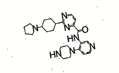 O=C(Nc1cnccc1N1CCNCC1)c1ccnc(C2CCC(N3CCCC3)CC2)n1